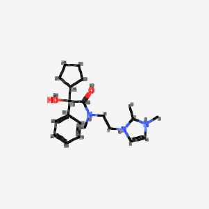 CC1N(C)C=CN1CCN(C)C(=O)C(O)(c1ccccc1)C1CCCC1